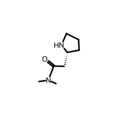 CN(C)C(=O)C[C@H]1CCCN1